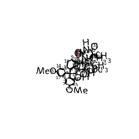 COc1ccc(C(c2ccccc2)(c2ccc(OC)cc2)C(O)[C@H]2O[C@@](CBr)(n3cc(C)c(=O)[nH]c3=O)C([SiH](C)C)[C@@]2(O)C(C)(C)C)cc1